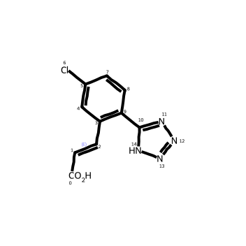 O=C(O)/C=C/c1cc(Cl)ccc1-c1nnn[nH]1